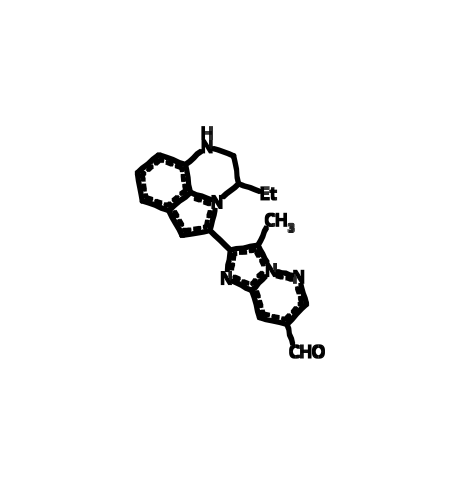 CCC1CNc2cccc3cc(-c4nc5cc(C=O)cnn5c4C)n1c23